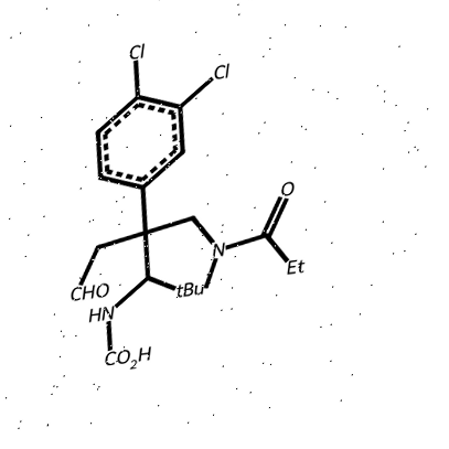 CCC(=O)N(C)CC(CC=O)(c1ccc(Cl)c(Cl)c1)C(NC(=O)O)C(C)(C)C